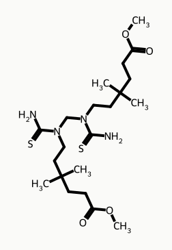 COC(=O)CCC(C)(C)CCN(CN(CCC(C)(C)CCC(=O)OC)C(N)=S)C(N)=S